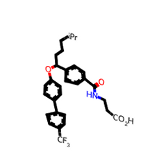 CC(C)CCCC(Oc1ccc(-c2ccc(C(F)(F)F)cc2)cc1)c1ccc(C(=O)NCCC(=O)O)cc1